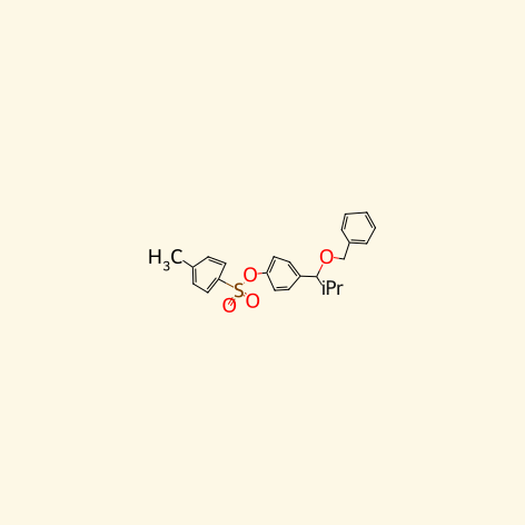 Cc1ccc(S(=O)(=O)Oc2ccc(C(OCc3ccccc3)C(C)C)cc2)cc1